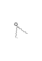 [CH2]CCCCCCCC(=CCCCCCCCC)c1ccccc1